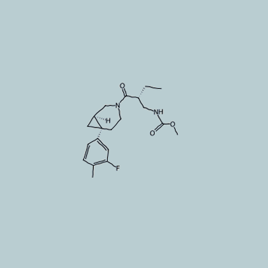 CC[C@H](CNC(=O)OC)C(=O)N1CC[C@@]2(c3ccc(C)c(F)c3)C[C@H]2C1